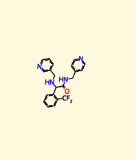 O=C(NCc1ccncc1)C(NCc1cccnc1)c1ccccc1C(F)(F)F